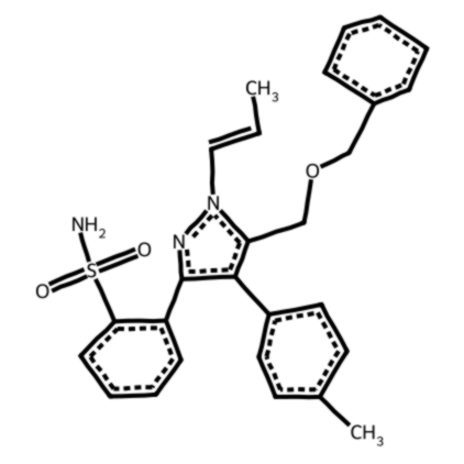 CC=Cn1nc(-c2ccccc2S(N)(=O)=O)c(-c2ccc(C)cc2)c1COCc1ccccc1